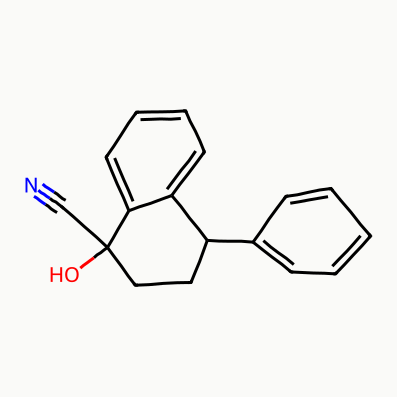 N#CC1(O)CCC(c2ccccc2)c2ccccc21